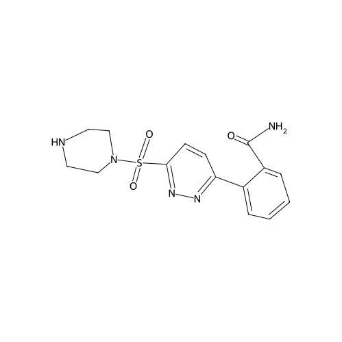 NC(=O)c1ccccc1-c1ccc(S(=O)(=O)N2CCNCC2)nn1